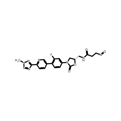 Cn1nnc(-c2ccc(-c3ccc(N4C[C@H](CNC(=O)CCN=O)OC4=O)cc3F)cn2)n1